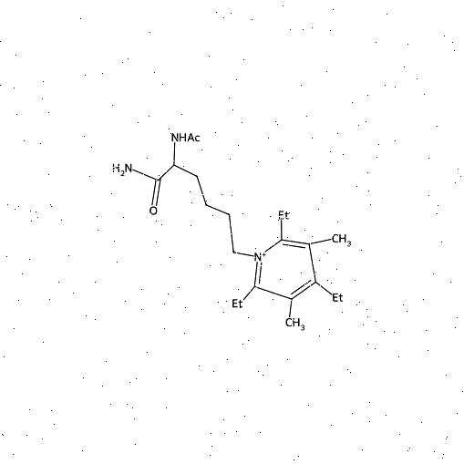 CCc1c(C)c(CC)[n+](CCCCC(NC(C)=O)C(N)=O)c(CC)c1C